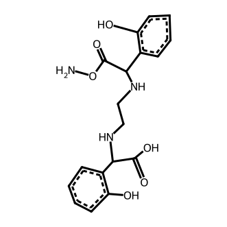 NOC(=O)C(NCCNC(C(=O)O)c1ccccc1O)c1ccccc1O